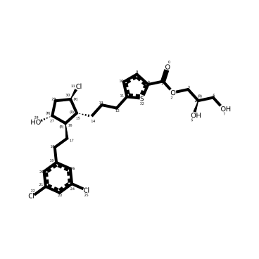 O=C(OC[C@H](O)CO)c1ccc(CCC[C@@H]2[C@@H](CCc3cc(Cl)cc(Cl)c3)[C@H](O)C[C@H]2Cl)s1